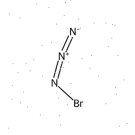 [N-]=[N+]=NBr